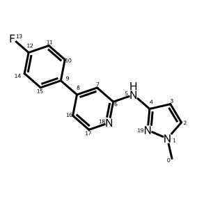 Cn1ccc(Nc2cc(-c3ccc(F)cc3)ccn2)n1